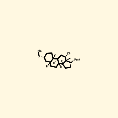 CCCCO[C@@H]1CC[C@@]2(C)[C@H](CC[C@@H]3[C@@H]2C[C@H](O)[C@]2(C)[C@@H]([C@H](C)CCC)CC[C@@H]32)C1